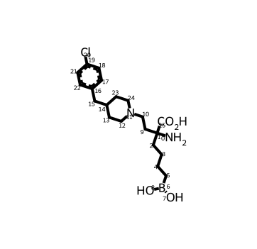 NC(CCCCB(O)O)(CCN1CCC(Cc2ccc(Cl)cc2)CC1)C(=O)O